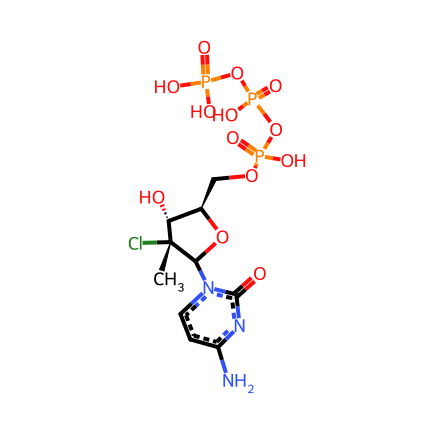 C[C@]1(Cl)C(n2ccc(N)nc2=O)O[C@H](COP(=O)(O)OP(=O)(O)OP(=O)(O)O)[C@H]1O